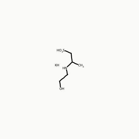 CC(CS(=O)(=O)O)NCCO.[KH]